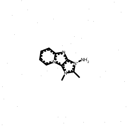 Cc1n(C)c2c(nc3ccccn32)[n+]1N